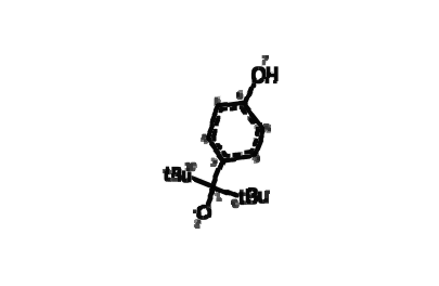 CC(C)(C)C([O])(c1ccc(O)cc1)C(C)(C)C